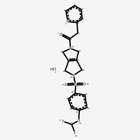 Cl.O=C(Cc1ccccn1)N1CC2=C(C1)CN(S(=O)(=O)c1ccc(OC(F)F)cc1)C2